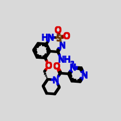 NC1=NS(=O)(=O)Nc2cccc(OC[C@H]3CCCCN3C(=O)c3ccncn3)c21